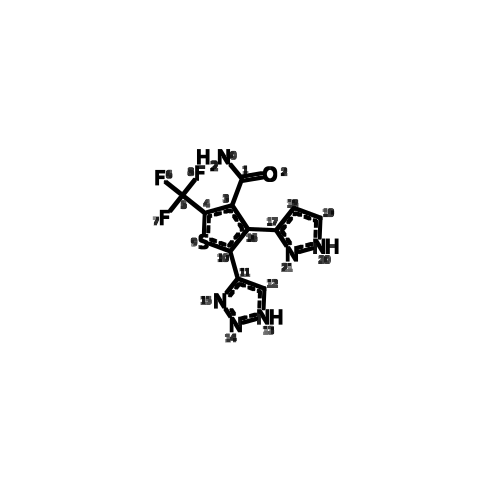 NC(=O)c1c(C(F)(F)F)sc(-c2c[nH]nn2)c1-c1cc[nH]n1